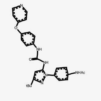 [CH2]C(=O)Nc1ccc(-n2nc(C(C)(C)C)cc2NC(=O)Nc2ccc(Oc3ccncc3)cc2)cc1